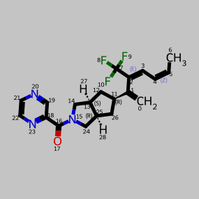 C=C(/C(=C\C=C/C)C(F)(F)F)[C@@H]1C[C@@H]2CN(C(=O)c3cnccn3)C[C@@H]2C1